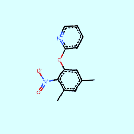 Cc1cc(C)c([N+](=O)[O-])c(Oc2ccccn2)c1